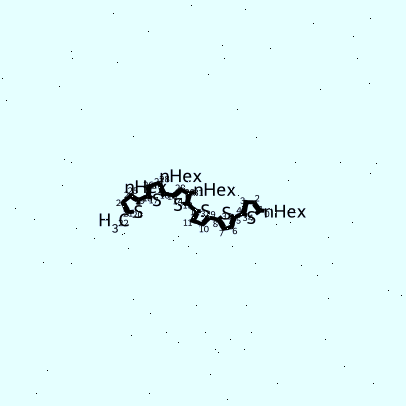 CCCCCCc1ccc(-c2ccc(-c3ccc(-c4sc(-c5sc(-c6sc(C)cc6CCCCCC)cc5CCCCCC)cc4CCCCCC)s3)s2)s1